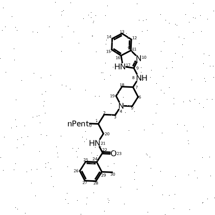 CCCCCC(CCN1CCC(Nc2nc3ccccc3[nH]2)CC1)CNC(=O)c1ccccc1C